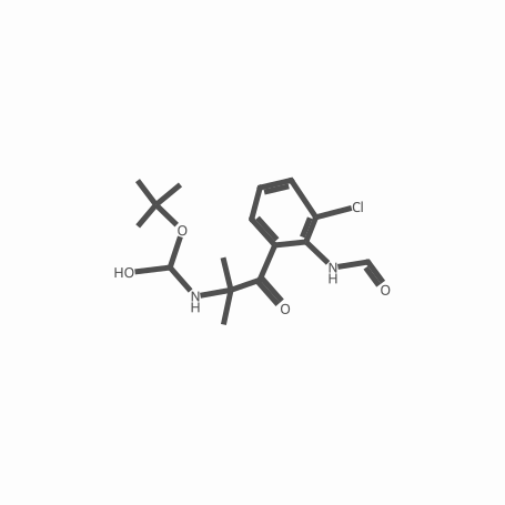 CC(C)(C)OC(O)NC(C)(C)C(=O)c1cccc(Cl)c1NC=O